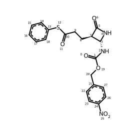 O=C(N[C@H]1NC(=O)[C@@H]1CCC(=O)Sc1ccccc1)OCc1ccc([N+](=O)[O-])cc1